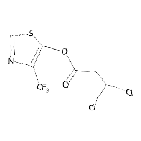 O=C(CC(Cl)Cl)Oc1scnc1C(F)(F)F